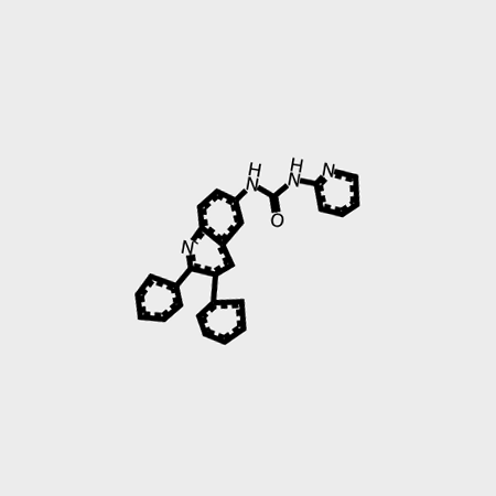 O=C(Nc1ccc2nc(-c3ccccc3)c(-c3ccccc3)cc2c1)Nc1ccccn1